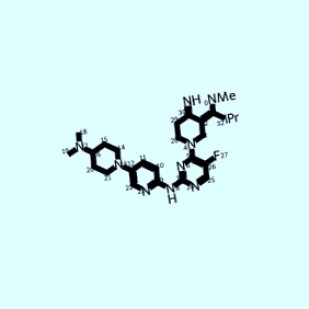 CN/C(=C1/CN(c2nc(Nc3ccc(N4CCC(N(C)C)CC4)cn3)ncc2F)CCC1=N)C(C)C